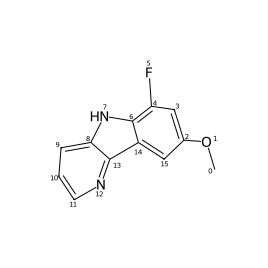 COc1cc(F)c2[nH]c3cccnc3c2c1